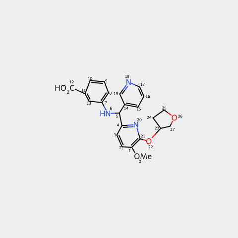 COc1ccc(C(Nc2cccc(C(=O)O)c2)c2cccnc2)nc1OC1CCOC1